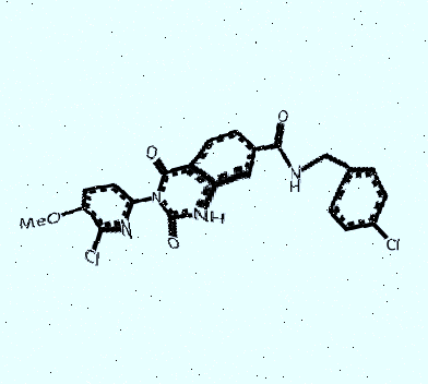 COc1ccc(-n2c(=O)[nH]c3cc(C(=O)NCc4ccc(Cl)cc4)ccc3c2=O)nc1Cl